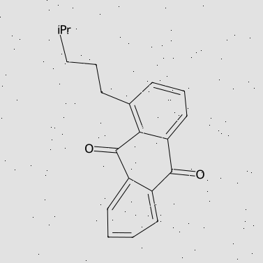 CC(C)CCCc1cccc2c1C(=O)c1ccccc1C2=O